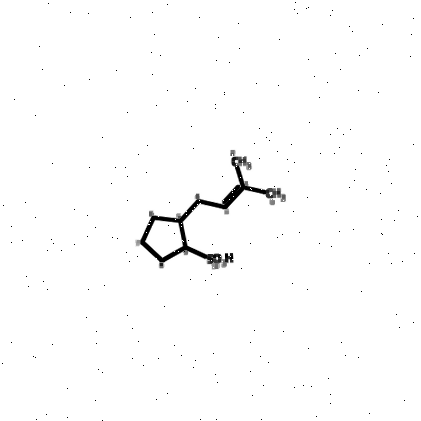 CC(C)=CCC1CCCC1S(=O)(=O)O